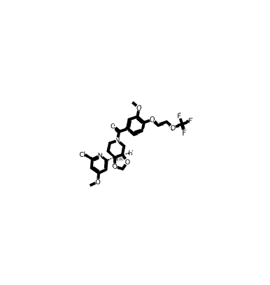 COc1cc(Cl)nc([C@]23CCN(C(=O)c4ccc(OCCOC(F)(F)F)c(OC)c4)C[C@H]2OCO3)c1